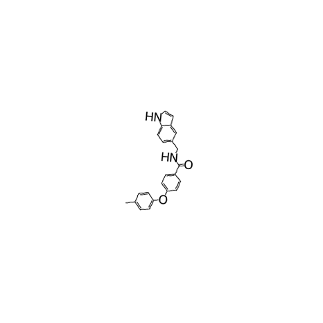 Cc1ccc(Oc2ccc(C(=O)NCc3ccc4[nH]ccc4c3)cc2)cc1